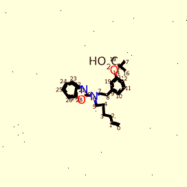 C=CCCCCN(CCc1cccc(OC(C)(C)C(=O)O)c1)c1nc2ccccc2o1